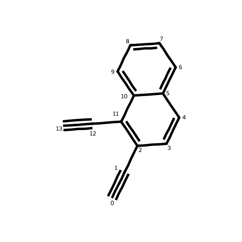 C#Cc1ccc2ccccc2c1C#C